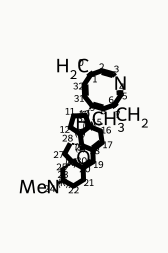 C=c1ccncc(=C)cc([C@H]2CC[C@@H]3[C@]2(C)CC=C2C=C4CC[C@@H](NC)C[C@]45CC[C@@]23O5)cc1